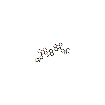 C=Cc1oc2ccc(N(c3ccc(-c4ccc5c6c(cccc46)C4(CC4)c4cc(N(c6ccc7c(c6)C6C=CC=CC6O7)C6C=CC=CC6C6CC=CCC6)ccc4-5)cc3)c3ccccc3-c3ccccc3)cc2c1/C=C\C